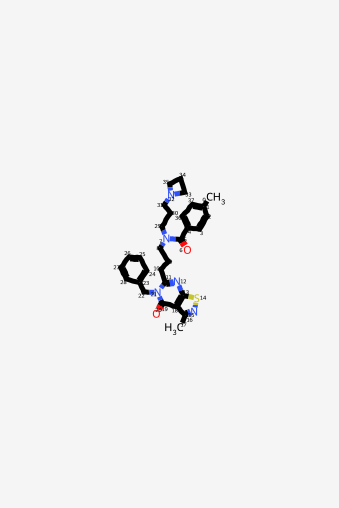 Cc1ccc(C(=O)N(CCCc2nc3snc(C)c3c(=O)n2Cc2ccccc2)CCCN2CCC2)cc1